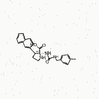 Cc1ccc(CNC(=O)N[C@]2(C(=O)O)NCCC2c2ccc3ccccc3c2)cc1